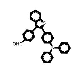 O=Cc1ccc(-c2c(-c3ccc(N(c4ccccc4)c4ccccc4)cc3)sc3ccccc23)cc1